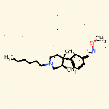 CCCCCCN1CCC(C)(C2=CC=CC(=C=NOC)C2)C(C)C1